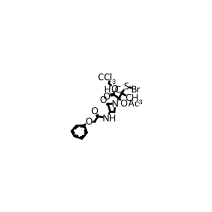 CC(=O)OC(C(=O)OCC(Cl)(Cl)Cl)(N1CC(NC(=O)COc2ccccc2)C1=O)C(C)(C)SBr